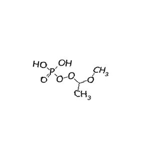 COC(C)OOP(=O)(O)O